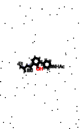 CC/C=C(C)\C=C(\c1cccc(-c2ccc(NC(C)=O)cc2)c1O)C(C)CC